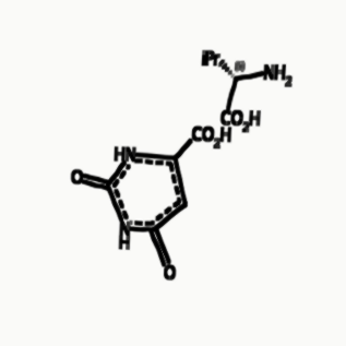 CC(C)[C@H](N)C(=O)O.O=C(O)c1cc(=O)[nH]c(=O)[nH]1